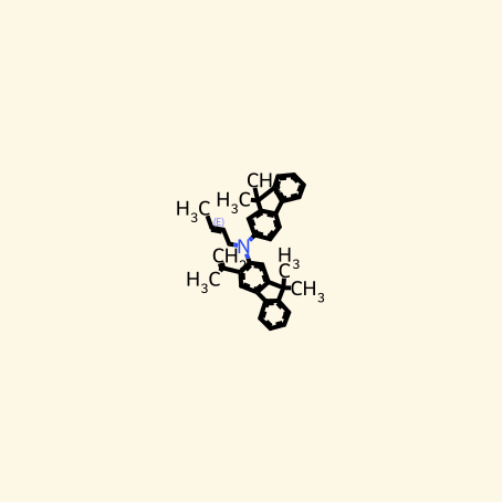 C=C(C)c1cc2c(cc1N(C/C=C/C)c1ccc3c(c1)C(C)(C)c1ccccc1-3)C(C)(C)c1ccccc1-2